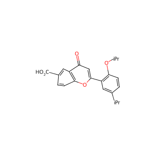 CC(C)Oc1ccc(C(C)C)cc1-c1cc(=O)c2cc(C(=O)O)ccc2o1